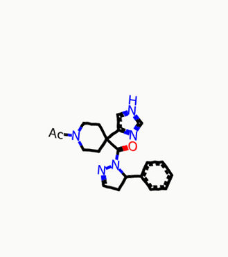 CC(=O)N1CCC(C(=O)N2N=CCC2c2ccccc2)(c2c[nH]cn2)CC1